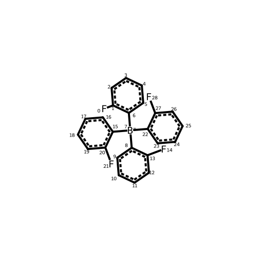 Fc1ccccc1[B-](c1ccccc1F)(c1ccccc1F)c1ccccc1F